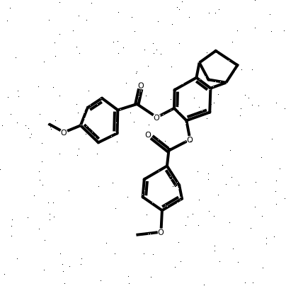 COc1ccc(C(=O)Oc2cc3c(cc2OC(=O)c2ccc(OC)cc2)C2CCC3C2)cc1